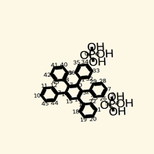 O=P(O)(O)O.O=P(O)(O)O.c1ccc(-c2cc(-c3ccccc3)c(-c3ccccc3)c(-c3ccccc3)c2-c2ccccc2)cc1